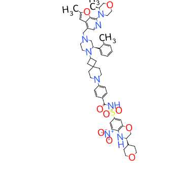 Cc1cc2c(CN3CCN(C4CC5(CCN(c6ccc(C(=O)NS(=O)(=O)c7cc8c(c([N+](=O)[O-])c7)N[C@H](C7CCOCC7)CO8)cc6)CC5)C4)[C@H](c4ccccc4C)C3)cnc(N3CCOC[C@@H]3C)c2o1